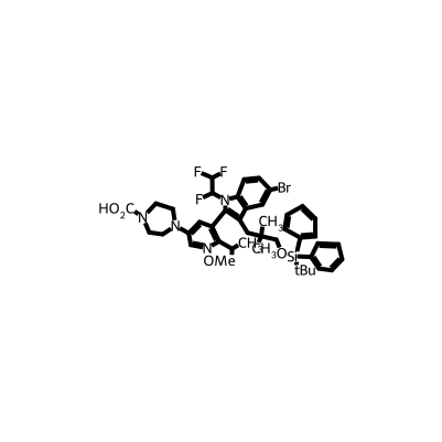 COC(C)c1ncc(N2CCN(C(=O)O)CC2)cc1-c1c(CC(C)(C)CO[Si](c2ccccc2)(c2ccccc2)C(C)(C)C)c2cc(Br)ccc2n1C(F)C(F)F